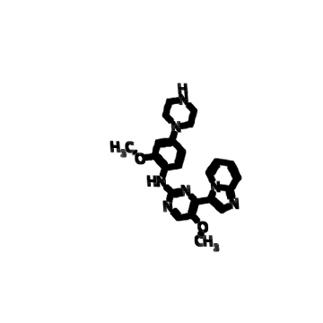 COc1cc(N2CCNCC2)ccc1Nc1ncc(OC)c(-c2cnc3ccccn23)n1